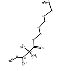 CCCCCCCCCCCCCCCC(=O)C(N)(O)C(O)CO